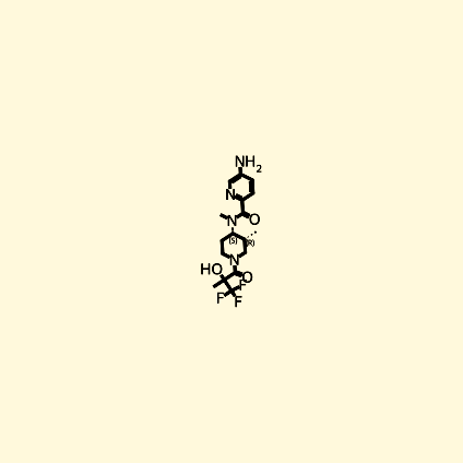 C[C@@H]1CN(C(=O)C(C)(O)C(F)(F)F)CC[C@@H]1N(C)C(=O)c1ccc(N)cn1